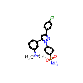 CN(C)c1cccc(-c2cc(-c3ccc(Cl)cc3)nn2-c2ccc(S(N)(=O)=O)cc2)c1